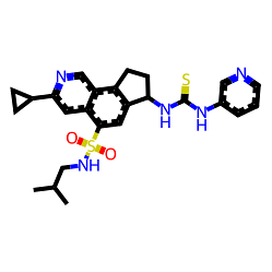 CC(C)CNS(=O)(=O)c1cc2c(c3cnc(C4CC4)cc13)CCC2NC(=S)Nc1cccnc1